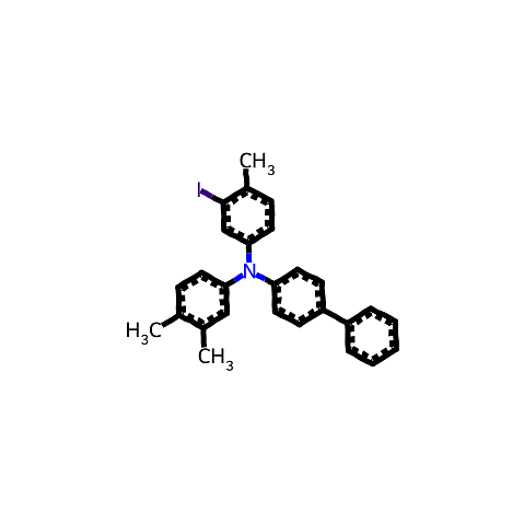 Cc1ccc(N(c2ccc(-c3ccccc3)cc2)c2ccc(C)c(I)c2)cc1C